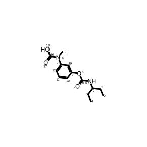 CCC(CC)NC(=O)Oc1cccc(N(C)C(=O)O)c1